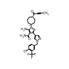 CC#CC(=O)N1CCC[C@H](n2nc(-c3cnn(Cc4ccc(Cl)c(C(F)(F)F)c4)c3)c(C(N)=O)c2N)CC1